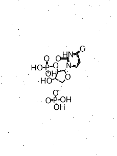 O=c1ccn([C@@H]2O[C@H](COP(=O)(O)O)[C@@H](O)[C@H]2OP(=O)(O)O)c(=O)[nH]1